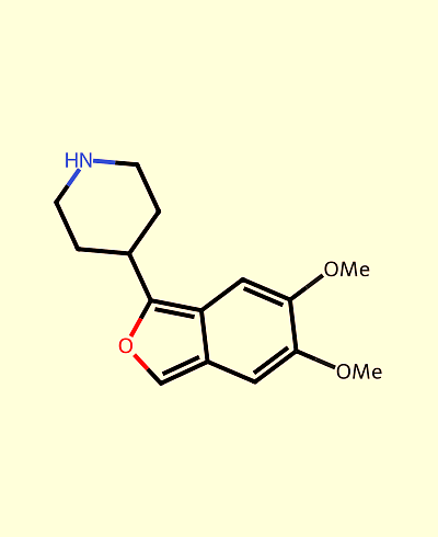 COc1cc2coc(C3CCNCC3)c2cc1OC